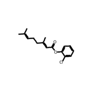 CC(C)=CCC/C(C)=C/C(=O)Oc1ccccc1Cl